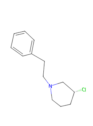 Cl[C@@H]1CCCN(CCc2ccccc2)C1